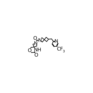 O=C1COCC2(CN(C(=O)N3CC4(CC(Cc5ccc(C(F)(F)F)cn5)C4)C3)C2)N1